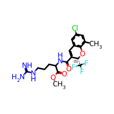 COC(=O)C(CCCNC(=N)N)NC(=O)C1=Cc2cc(Cl)cc(C)c2O[C@@H]1C(F)(F)F